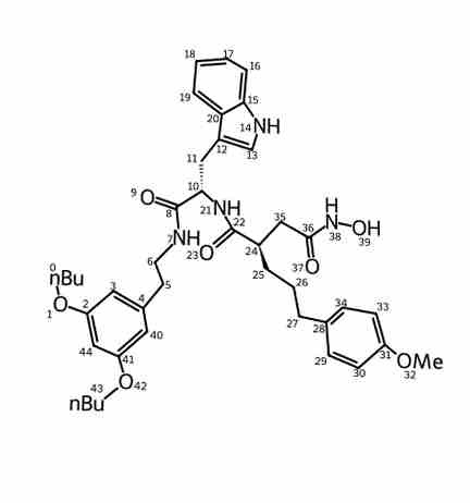 CCCCOc1cc(CCNC(=O)[C@H](Cc2c[nH]c3ccccc23)NC(=O)[C@H](CCCc2ccc(OC)cc2)CC(=O)NO)cc(OCCCC)c1